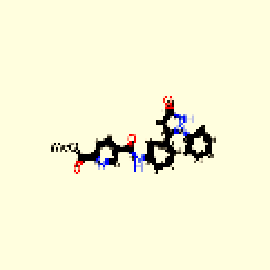 COC(=O)c1ccc(C(=O)Nc2cccc(C3CC(=O)NN3c3ccccc3)c2)cn1